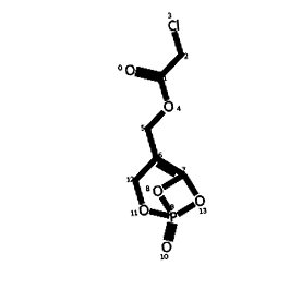 O=C(CCl)OCC1=C2OP(=O)(OC1)O2